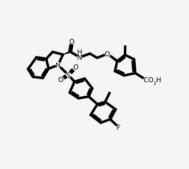 Cc1cc(C(=O)O)ccc1OCCNC(=O)[C@@H]1Cc2ccccc2N1S(=O)(=O)c1ccc(-c2ccc(F)cc2C)cc1